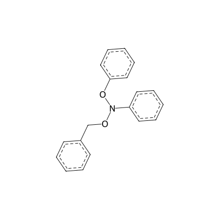 c1ccc(CON(Oc2ccccc2)c2ccccc2)cc1